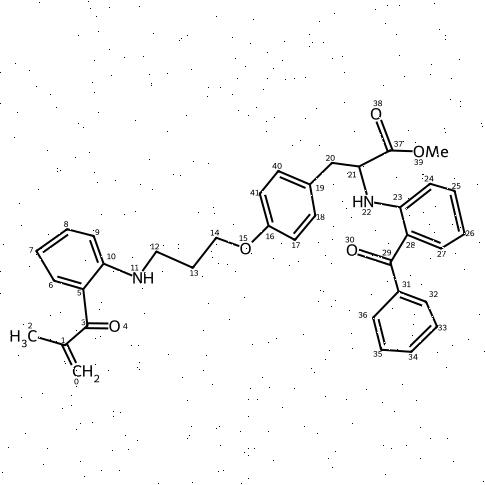 C=C(C)C(=O)c1ccccc1NCCCOc1ccc(CC(Nc2ccccc2C(=O)c2ccccc2)C(=O)OC)cc1